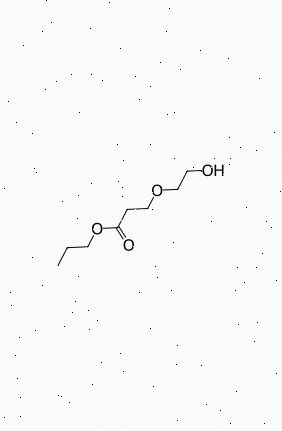 CCCOC(=O)CCOCCO